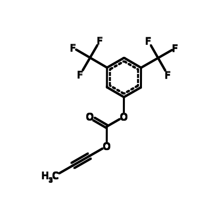 CC#COC(=O)Oc1cc(C(F)(F)F)cc(C(F)(F)F)c1